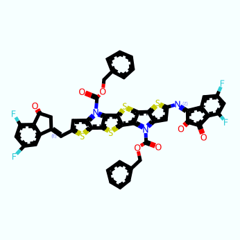 O=C1C/C(=C\c2cc3c(s2)c2sc4c(sc5c6sc(/N=c7\c(=O)c(=O)c8c(F)cc(F)cc78)cc6n(C(=O)OCc6ccccc6)c54)c2n3C(=O)OCc2ccccc2)c2cc(F)cc(F)c21